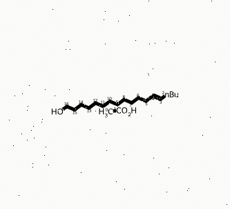 CC(=O)O.CCCCC=CCCCCCCCCCCCCO